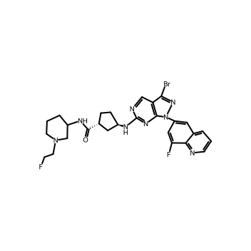 O=C(NC1CCCN(CCF)C1)[C@@H]1CC[C@@H](Nc2ncc3c(Br)nn(-c4cc(F)c5ncccc5c4)c3n2)C1